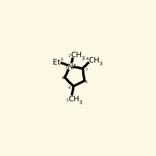 CC[N+]1(C)CC(C)CC1C